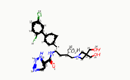 O=C(N[C@H](Cc1ccc(-c2cc(Cl)ccc2F)cc1)C[C@@H](CN1CC(CO)(CO)C1)C(=O)O)c1cnn[nH]1